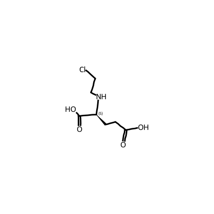 O=C(O)CC[C@H](NCCCl)C(=O)O